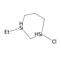 CC[SiH]1CCC[SiH](Cl)C1